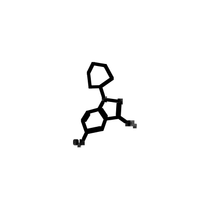 Nc1nn(C2CCCCC2)c2ccc([N+](=O)[O-])cc12